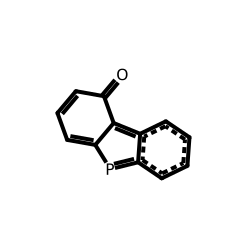 O=C1C=CC=C2P=c3ccccc3=C12